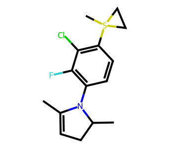 CC1=CCC(C)N1c1ccc(S2(C)CC2)c(Cl)c1F